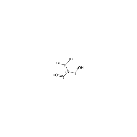 O=CN(CO)C(F)F